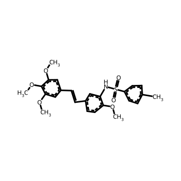 COc1ccc(C=Cc2cc(OC)c(OC)c(OC)c2)cc1NS(=O)(=O)c1ccc(C)cc1